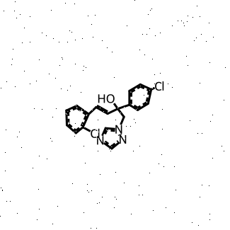 OC(C=Cc1ccccc1Cl)(Cn1cncn1)c1ccc(Cl)cc1